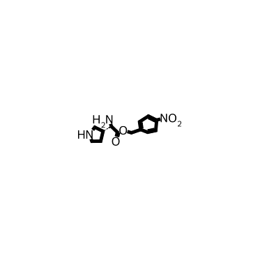 NC(C(=O)OCc1ccc([N+](=O)[O-])cc1)[C@@H]1CCNC1